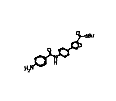 CC(C)(C)C(=O)c1cc(-c2ccc(NC(=O)c3ccc(N)cc3)cc2)co1